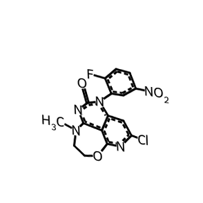 CN1CCOc2nc(Cl)cc3c2c1nc(=O)n3-c1cc([N+](=O)[O-])ccc1F